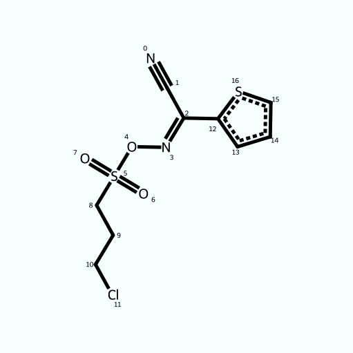 N#CC(=NOS(=O)(=O)CCCCl)c1cccs1